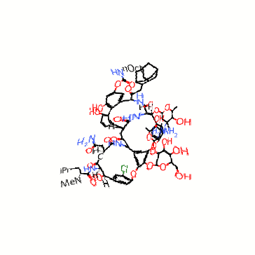 CCCCCCCCNC(=O)Oc1cc(O)c2c(c1)[C@@H](C(=O)CC1C3CC4CC(C3)CC1C4)NC(=O)[C@H]1NC(=O)[C@H](CC(=O)C3NC(=O)[C@H](CC(N)=O)CC(=O)[C@H](NC(=O)[C@@H](CC(C)C)NC)[C@H](O)c4ccc(c(Cl)c4)Oc4cc3cc(c4OC3OC(CO)C(O)C(O)C3OC3CC(C)(N)C(O)C(C)O3)Oc3ccc(cc3)[C@H]1OC1CC(C)(N)C(O)C(C)O1)c1ccc(O)c-2c1